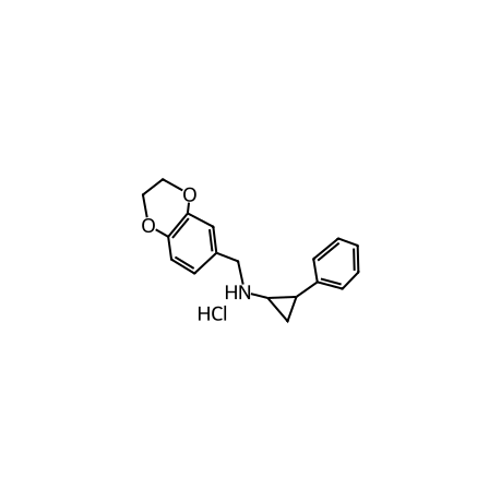 Cl.c1ccc(C2CC2NCc2ccc3c(c2)OCCO3)cc1